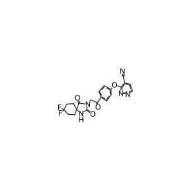 N#Cc1ccnnc1Oc1ccc(C(=O)CN2C(=O)NC3(CCC(F)(F)CC3)C2=O)cc1